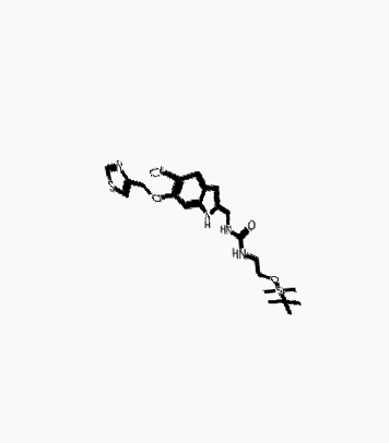 CC(C)(C)[Si](C)(C)OCCNC(=O)NCc1cc2cc(Cl)c(OCc3cscn3)cc2[nH]1